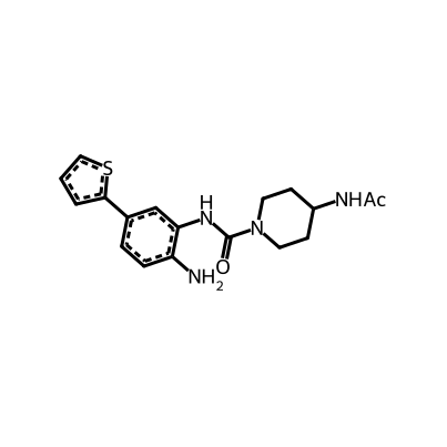 CC(=O)NC1CCN(C(=O)Nc2cc(-c3cccs3)ccc2N)CC1